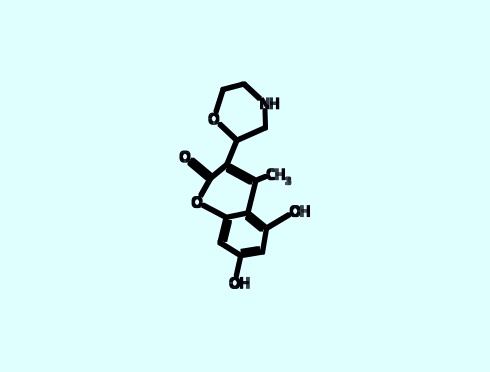 Cc1c(C2CNCCO2)c(=O)oc2cc(O)cc(O)c12